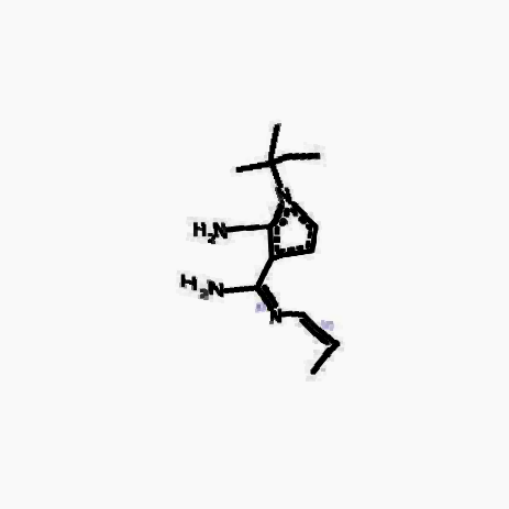 C/C=C\N=C(\N)c1ccn(C(C)(C)C)c1N